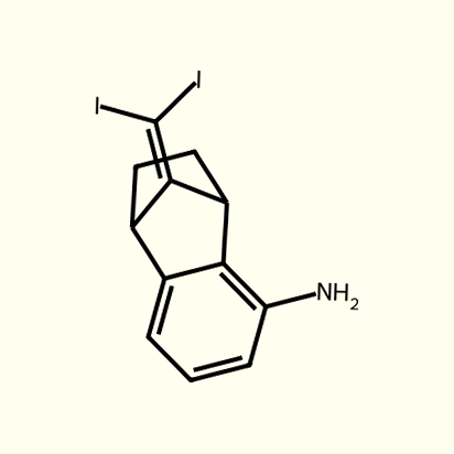 Nc1cccc2c1C1CCC2C1=C(I)I